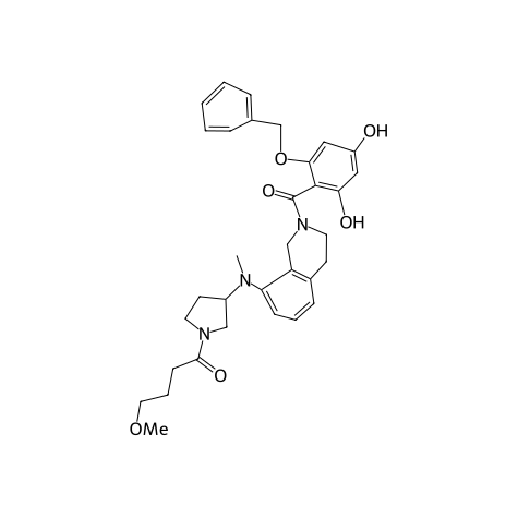 COCCCC(=O)N1CCC(N(C)c2cccc3c2CN(C(=O)c2c(O)cc(O)cc2OCc2ccccc2)CC3)C1